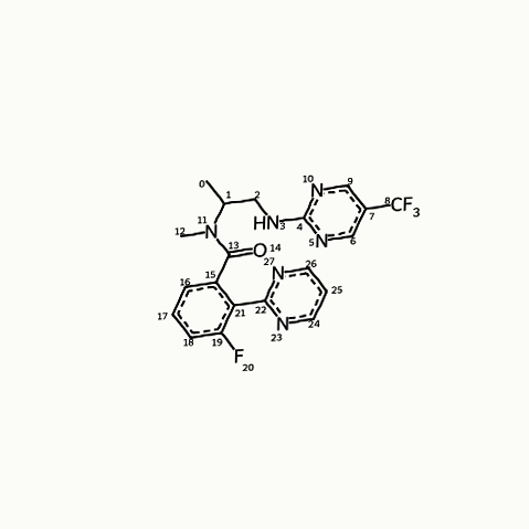 CC(CNc1ncc(C(F)(F)F)cn1)N(C)C(=O)c1cccc(F)c1-c1ncccn1